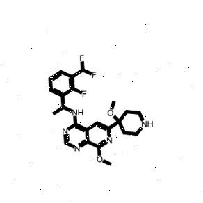 COc1nc(C2(OC)CCNCC2)cc2c(NC(C)c3cccc(C(F)F)c3F)ncnc12